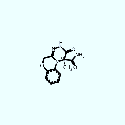 C[C@@]1(C(N)=O)C(=O)NN=C2COc3cc[c]cc3N21